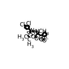 CCC(C)Sc1sc(-n2nc(C)c(Cc3ccccc3[N+](=O)[O-])c2C(=O)O)nc1-c1ccc(Cl)c(Cl)c1